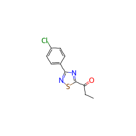 CCC(=O)c1nc(-c2ccc(Cl)cc2)ns1